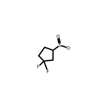 [O]S(=O)C1CCC(F)(F)C1